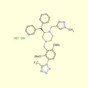 COc1ccc(-n2nnnc2C(F)(F)F)c(OC)c1CN1CCN(Cc2cnn(C)c2)[C@H](C(c2ccccc2)c2ccccc2)C1.Cl.Cl